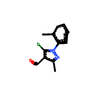 Cc1ccccc1-n1nc(C)c(C=O)c1Cl